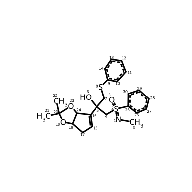 CN=S(=O)(CC(O)(CSc1ccccc1)C1=CCC2OC(C)(C)OC12)c1ccccc1